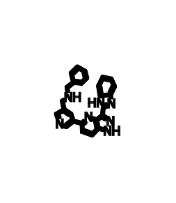 c1ccc(CNCc2cncc(-c3ccc4[nH]nc(-c5nc6ccccc6[nH]5)c4n3)c2)cc1